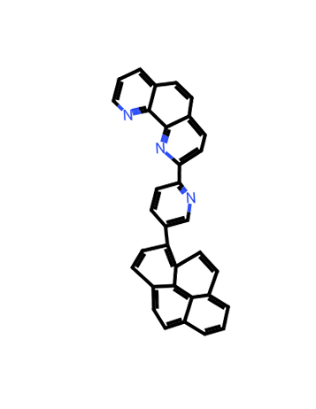 c1cnc2c(c1)ccc1ccc(-c3ccc(-c4ccc5ccc6cccc7ccc4c5c67)cn3)nc12